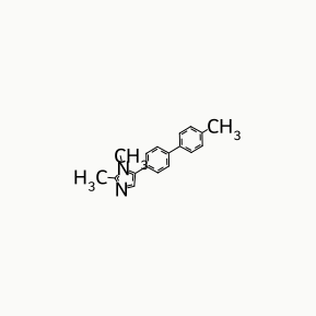 Cc1ccc(-c2ccc(-c3cnc(C)n3C)cc2)cc1